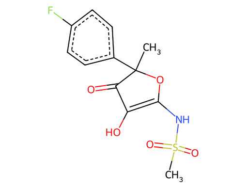 CC1(c2ccc(F)cc2)OC(NS(C)(=O)=O)=C(O)C1=O